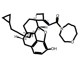 O=C(/C=C1\CC[C@]12CC[C@@]1(O)[C@H]3Cc4ccc(O)c5c4[C@@]1(CCN3CC1CC1)[C@H]2O5)N1CCCOCC1